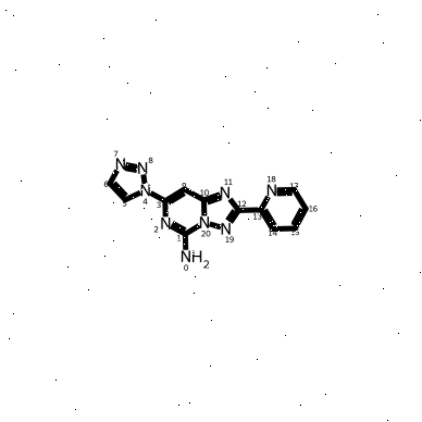 Nc1nc(-n2ccnn2)cc2nc(-c3ccccn3)nn12